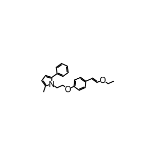 CCOC=Cc1ccc(OCCn2c(C)ccc2-c2ccccc2)cc1